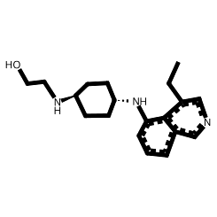 CCc1cncc2cccc(N[C@H]3CC[C@H](NCCO)CC3)c12